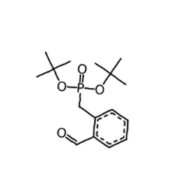 CC(C)(C)OP(=O)(Cc1ccccc1C=O)OC(C)(C)C